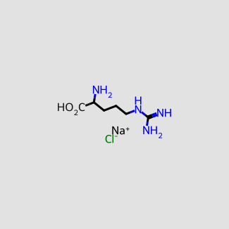 N=C(N)NCCCC(N)C(=O)O.[Cl-].[Na+]